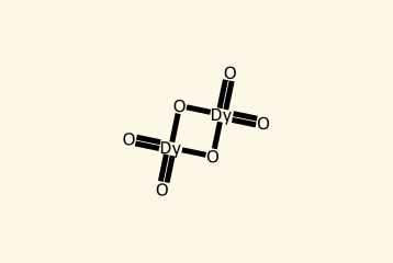 [O]=[Dy]1(=[O])[O][Dy](=[O])(=[O])[O]1